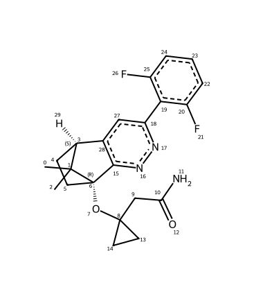 CC1(C)[C@H]2CC[C@]1(OC1(CC(N)=O)CC1)c1nnc(-c3c(F)cccc3F)cc12